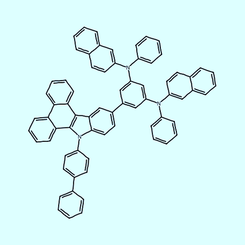 c1ccc(-c2ccc(-n3c4ccc(-c5cc(N(c6ccccc6)c6ccc7ccccc7c6)cc(N(c6ccccc6)c6ccc7ccccc7c6)c5)cc4c4c5ccccc5c5ccccc5c43)cc2)cc1